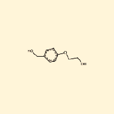 OCCOc1ccc(CO)cc1